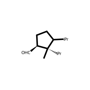 CC(C)C1CC[C@H](C=O)[C@@]1(C)C(C)C